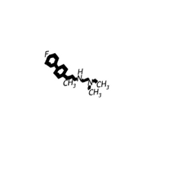 CCN(CC)CCNCC=C(C)c1ccc(-c2ccc(F)cc2)cc1